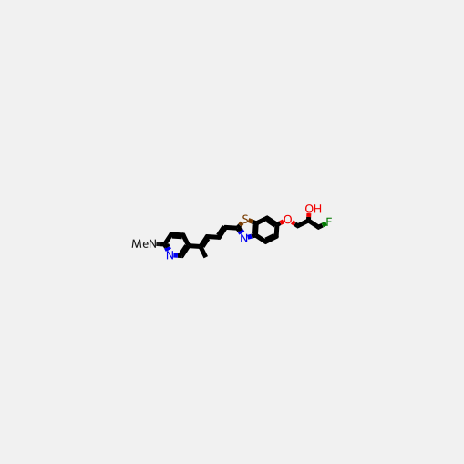 CNc1ccc(/C(C)=C/C=C/c2nc3ccc(OCC(O)CF)cc3s2)cn1